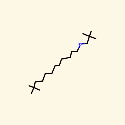 CC(C)(C)CCCCCCCCCCNCC(C)(C)C